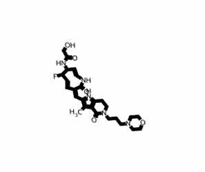 Cc1c(/C=C2/C=C/C(F)C(NC(=O)CO)/C=C/NC2=O)[nH]c2c1C(=O)N(CCCN1CCOCC1)CC2